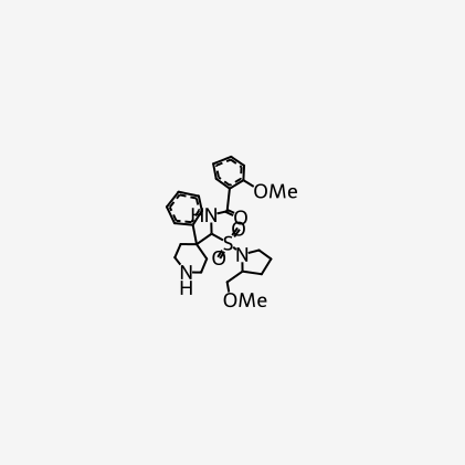 COCC1CCCN1S(=O)(=O)C(NC(=O)c1ccccc1OC)C1(c2ccccc2)CCNCC1